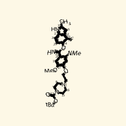 CNc1cc(OCCN2CCN(C(=O)OC(C)(C)C)CC2)c(OC)cc1C(=N)Oc1ccc2[nH]c(C)cc2c1F